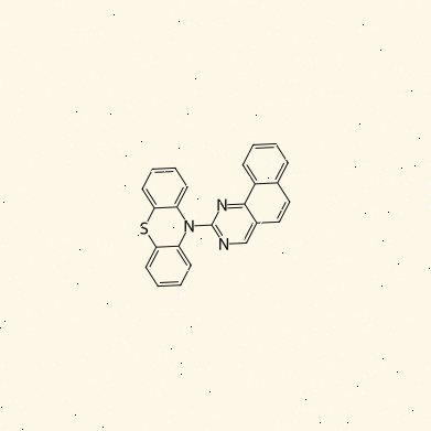 c1ccc2c(c1)Sc1ccccc1N2c1ncc2ccc3ccccc3c2n1